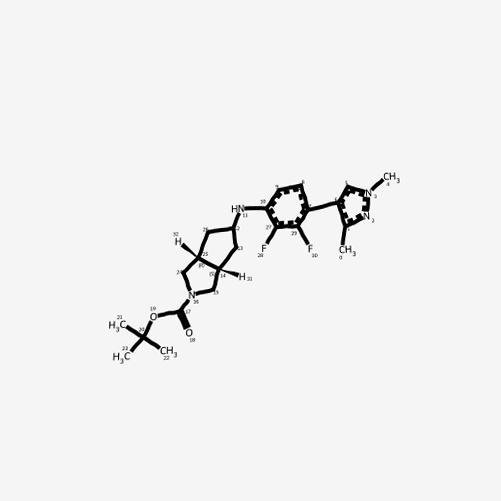 Cc1nn(C)cc1-c1ccc(NC2C[C@@H]3CN(C(=O)OC(C)(C)C)C[C@@H]3C2)c(F)c1F